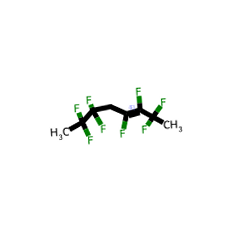 CC(F)(F)/C(F)=C(\F)CC(F)(F)C(C)(F)F